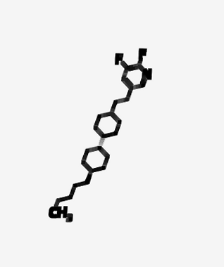 CCCCC[C@H]1CC[C@H](C2CCC(CCc3cnc(F)c(F)c3)CC2)CC1